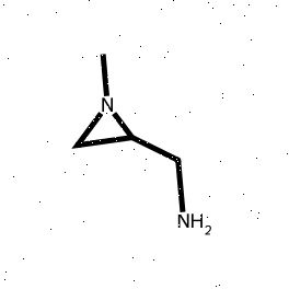 CN1CC1CN